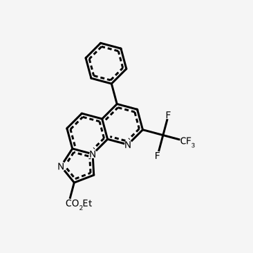 CCOC(=O)c1cn2c(ccc3c(-c4ccccc4)cc(C(F)(F)C(F)(F)F)nc32)n1